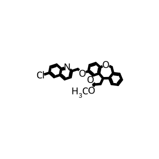 COC(=O)CC1c2ccccc2COc2ccc(OCc3ccc4cc(Cl)ccc4n3)cc21